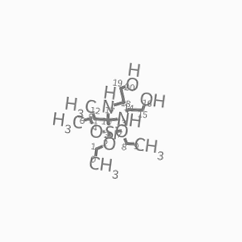 CCO[Si](OCC)(OCC)C(CC)(NCCO)NCCO